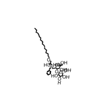 CCCCCCCCCCCCCCCCOCC(O)CN(Cc1ccccc1)C[C@H](O)[C@@H](O[C@@H]1O[C@H](CO)[C@@H](O)[C@H](O)[C@H]1O)[C@H](O)[C@H](O)CO